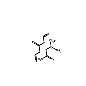 NC(=O)C[C@H](N)C(=O)O.O=C(CC=S)CC=S